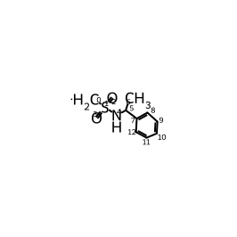 [CH2]S(=O)(=O)NC(C)c1ccccc1